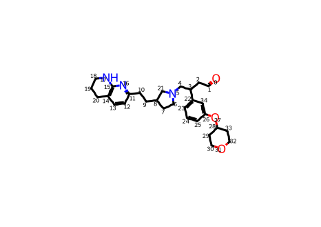 O=CCC(CN1CCC(CCc2ccc3c(n2)NCCC3)C1)c1cccc(OC2CCOCC2)c1